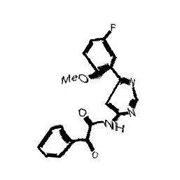 COc1ccc(F)cc1-c1cc(NC(=O)C(=O)c2ccccc2)ncn1